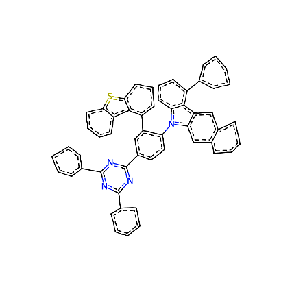 c1ccc(-c2nc(-c3ccccc3)nc(-c3ccc(-n4c5cc6ccccc6cc5c5c(-c6ccccc6)cccc54)c(-c4cccc5sc6ccccc6c45)c3)n2)cc1